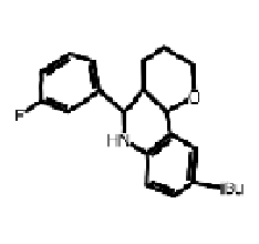 CCC(C)c1ccc2c(c1)C1OCCCC1C(c1cccc(F)c1)N2